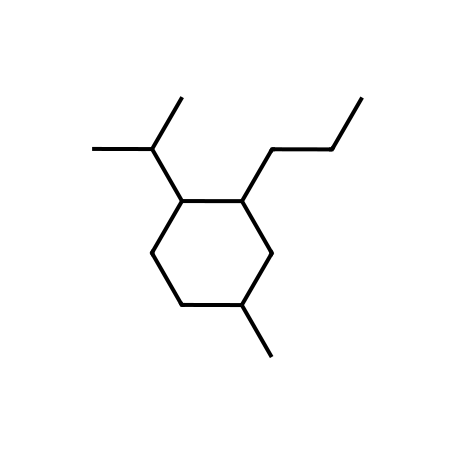 CCCC1CC(C)CCC1C(C)C